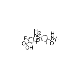 Cc1cc(S(=O)(=O)Nc2cc(F)c(C(=O)O)cc2F)ccc1C(=O)NC(C)(C)C